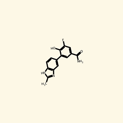 Cc1nc2cc(-c3cc(C(N)=O)cc(F)c3O)ccc2[nH]1